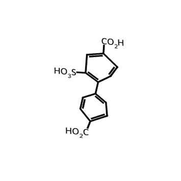 O=C(O)c1ccc(-c2ccc(C(=O)O)cc2S(=O)(=O)O)cc1